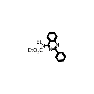 CCOC(=O)N(CC)c1nc(-c2ccccc2)nc2ccccc12